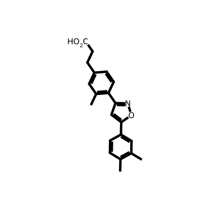 Cc1ccc(-c2cc(-c3ccc(CCC(=O)O)cc3C)no2)cc1C